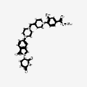 CC(C)(C)OC(=O)c1ccc(N2CCC(CN3CCN(c4ccc5c(c4)CN([C@H]4CCC(=O)NC4=O)C5=O)CC3)CC2)c(F)c1